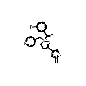 O=C(c1cccc(F)c1)[N+]1(Cc2ccncc2)CCC(c2cn[nH]c2)=N1